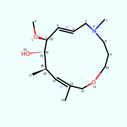 CO[C@H]1/C=C/CN(C)CCCOC/C(C)=C\[C@@H](C)[C@@H]1O